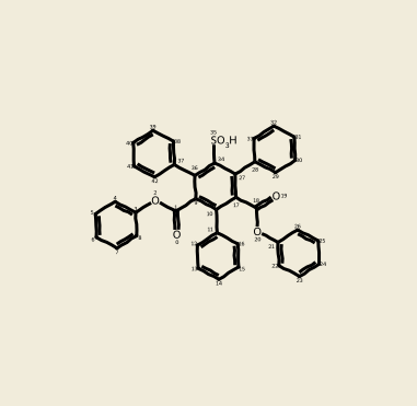 O=C(Oc1ccccc1)c1c(-c2ccccc2)c(C(=O)Oc2ccccc2)c(-c2ccccc2)c(S(=O)(=O)O)c1-c1ccccc1